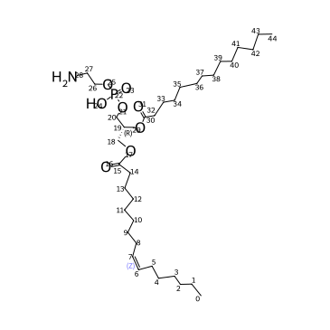 CCCCCC/C=C\CCCCCCCC(=O)OC[C@H](COP(=O)(O)OCCN)OC(=O)CCCCCCCCCCCCC